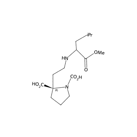 COC(=O)C(CC(C)C)NCC[C@@]1(C(=O)O)CCCN1C(=O)O